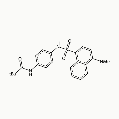 CNc1ccc(S(=O)(=O)Nc2ccc(NC(=O)C(C)(C)C)cc2)c2ccccc12